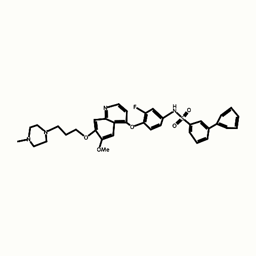 COc1cc2c(Oc3ccc(NS(=O)(=O)c4cccc(-c5ccccc5)c4)cc3F)ccnc2cc1OCCCN1CCN(C)CC1